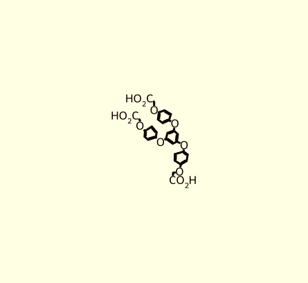 O=C(O)COc1ccc(Oc2cc(Oc3ccc(OCC(=O)O)cc3)cc(Oc3ccc(OCC(=O)O)cc3)c2)cc1